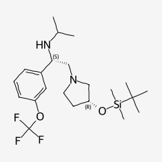 CC(C)N[C@H](CN1CC[C@@H](O[Si](C)(C)C(C)(C)C)C1)c1cccc(OC(F)(F)F)c1